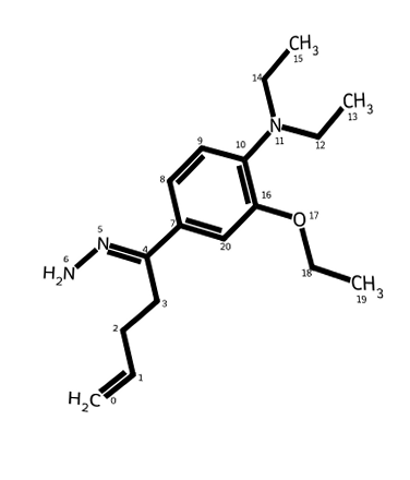 C=CCC/C(=N\N)c1ccc(N(CC)CC)c(OCC)c1